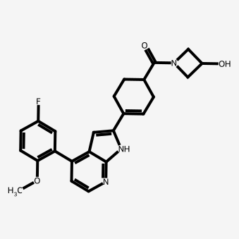 COc1ccc(F)cc1-c1ccnc2[nH]c(C3=CCC(C(=O)N4CC(O)C4)CC3)cc12